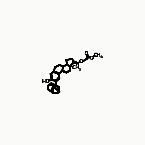 COC(=O)CO/N=C1\CCC2C3CCc4cc(O)c(C56CC7CC(CC(C7)C5)C6)cc4C3CC[C@]12C